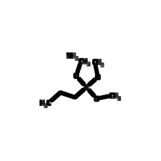 CCC[Si](OC)(OC)OC.N